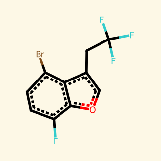 Fc1ccc(Br)c2c(CC(F)(F)F)coc12